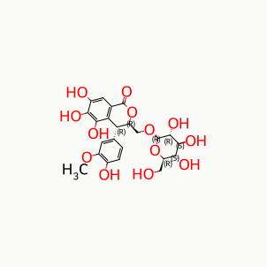 COc1cc([C@@H]2c3c(cc(O)c(O)c3O)C(=O)O[C@H]2CO[C@@H]2O[C@H](CO)[C@@H](O)[C@H](O)[C@H]2O)ccc1O